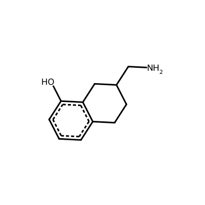 NCC1CCc2cccc(O)c2C1